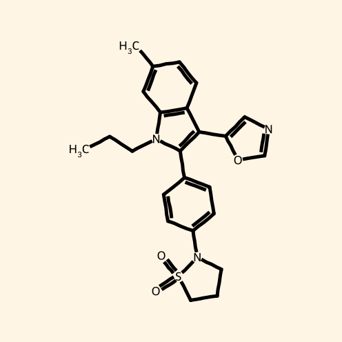 CCCn1c(-c2ccc(N3CCCS3(=O)=O)cc2)c(-c2cnco2)c2ccc(C)cc21